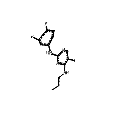 CCCNc1nc(Nc2ccc(F)c(F)c2)ncc1I